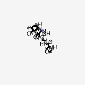 O=C(NCCOc1nonc1/C(=N\O)Nc1ccc(F)c(Cl)c1)C1COCCN1